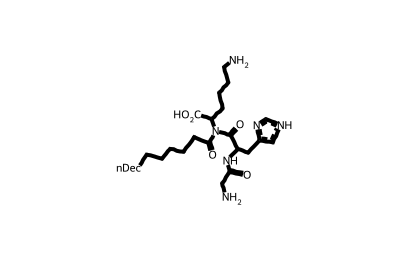 CCCCCCCCCCCCCCCC(=O)N(C(=O)C(Cc1c[nH]cn1)NC(=O)CN)C(CCCCN)C(=O)O